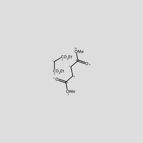 CCOC(=O)CC(=O)OCC.COC(=O)CCC(=O)OC